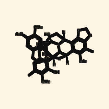 COc1cc2c(cc1OC(C)=O)CCN[C@]21CS[C@@H]2c3c(OC(C)=O)c(C)c4c(c3[C@H](COC1=O)N1C2[C@@H]2N[C@@H](Cc3cc(C)c(OC)c(O)c32)[C@@H]1O)OCO4